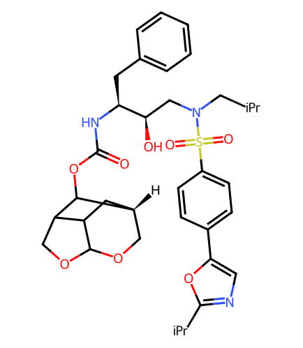 CC(C)CN(C[C@@H](O)[C@H](Cc1ccccc1)NC(=O)OC1C2COC3OC[C@H]1CC32)S(=O)(=O)c1ccc(-c2cnc(C(C)C)o2)cc1